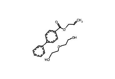 C=CCOC(=O)c1ccc(-c2ccccc2)cc1.OCCOCCO